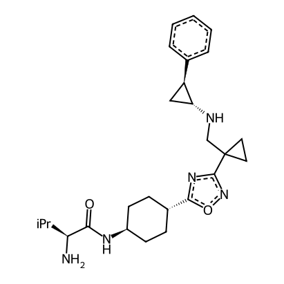 CC(C)[C@H](N)C(=O)N[C@H]1CC[C@H](c2nc(C3(CN[C@@H]4C[C@H]4c4ccccc4)CC3)no2)CC1